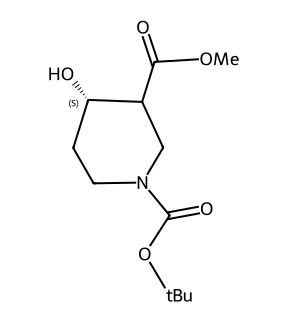 COC(=O)C1CN(C(=O)OC(C)(C)C)CC[C@@H]1O